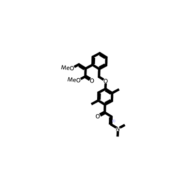 COC=C(C(=O)OC)c1ccccc1COc1cc(C)c(C(=O)/C=C/N(C)C)cc1C